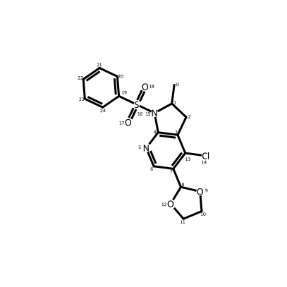 CC1Cc2c(ncc(C3OCCO3)c2Cl)N1S(=O)(=O)c1ccccc1